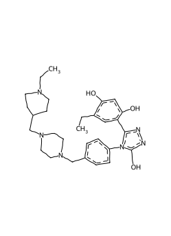 CCc1cc(-c2nnc(O)n2-c2ccc(CN3CCN(CC4CCN(CC)CC4)CC3)cc2)c(O)cc1O